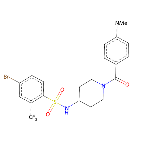 CNc1ccc(C(=O)N2CCC(NS(=O)(=O)c3ccc(Br)cc3C(F)(F)F)CC2)cc1